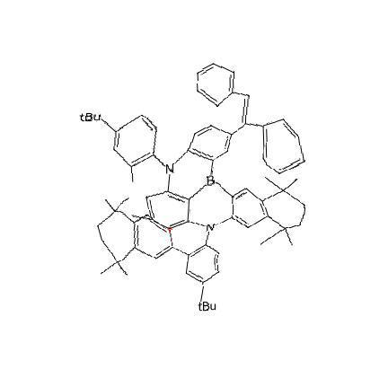 Cc1cc2c3c(c1)N(c1ccc(C(C)(C)C)cc1-c1ccc4c(c1)C(C)(C)CCC4(C)C)c1cc4c(cc1B3c1cc(/C(=C\c3ccccc3)c3ccccc3)ccc1N2c1ccc(C(C)(C)C)cc1C)C(C)(C)CCC4(C)C